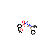 CC(C)C(=NSN(C)C(=O)Oc1cccc2c1OC(C)(C)C2)Sc1ccccc1